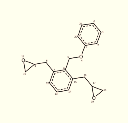 c1ccc(OCc2c(CC3CO3)cccc2CC2CO2)cc1